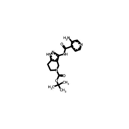 CC(C)(C)OC(=O)N1CCc2[nH]nc(NC(=O)c3ccncc3N)c2C1